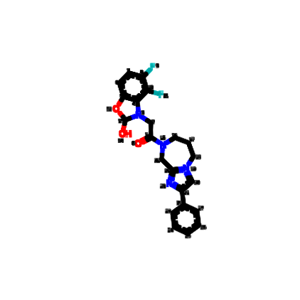 O=C(CN1c2c(ccc(F)c2F)OC1O)N1CCCn2cc(-c3ccccc3)nc2C1